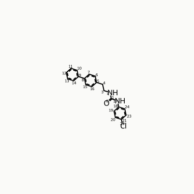 O=C(NCCc1ccc(-c2ccccc2)cc1)Nc1ccc(Cl)cc1